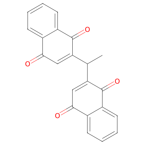 CC(C1=CC(=O)c2ccccc2C1=O)C1=CC(=O)c2ccccc2C1=O